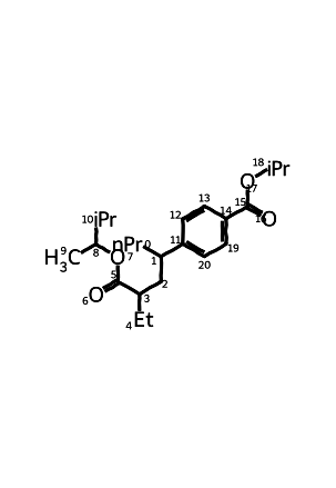 CCCC(CC(CC)C(=O)OC(C)C(C)C)c1ccc(C(=O)OC(C)C)cc1